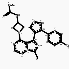 COC(=O)NC1CN(c2ncnn3c(C)nc(-c4cn[nH]c4-c4ccc(C(F)(F)F)cn4)c23)C1